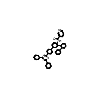 O=C(Nc1ccc(-c2ccc(-c3nc(-c4ccccc4)nc(-c4ccccc4)n3)cc2)cc1-c1ccccc1-c1ccccc1)c1cccnc1